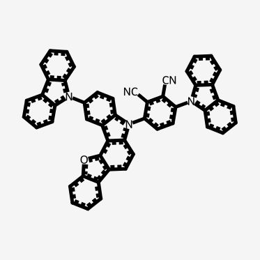 N#Cc1c(-n2c3ccccc3c3ccccc32)ccc(-n2c3ccc(-n4c5ccccc5c5ccccc54)cc3c3c4oc5ccccc5c4ccc32)c1C#N